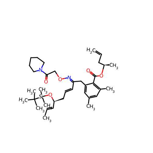 C=CC[C@@H](C)OC(=O)c1c(C)cc(C)cc1CC(/C=C/C[C@@H](/C=C/C)O[Si](C)(C)C(C)(C)C)=NOCC(=O)N1CCCCC1